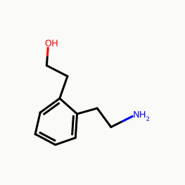 NCCc1ccccc1CCO